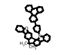 CC1(C)c2cc3c(cc2-c2c1ccc1c4ccccc4n(-c4ccc(-c5ccc6c7ccccc7c7ccccc7c6c5)cc4)c21)oc1ccccc13